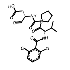 CC(C)[C@H](NC(=O)c1c(Cl)cccc1Cl)C(=O)[N+]1(C(=O)N[C@H](C=O)CC(=O)O)CCCC1